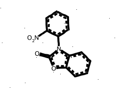 O=c1oc2ccccc2n1-c1ccccc1[N+](=O)[O-]